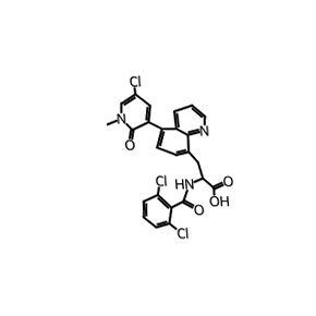 Cn1cc(Cl)cc(-c2ccc(CC(NC(=O)c3c(Cl)cccc3Cl)C(=O)O)c3ncccc23)c1=O